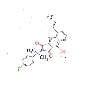 C/C=C/c1ccnc2c(O)c3c(nc12)C(=O)N(C(C)(C)c1ccc(F)cc1)C3=O